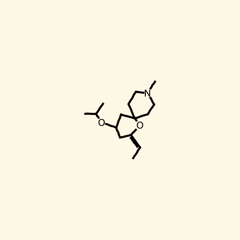 C/C=C1\CC(OC(C)C)CC2(CCN(C)CC2)O1